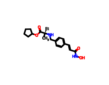 CC[C@@](C)(NCc1ccc(C=CC(=O)NO)cc1)C(=O)OC1CCCC1